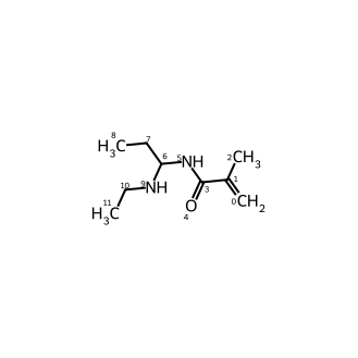 C=C(C)C(=O)NC(CC)NCC